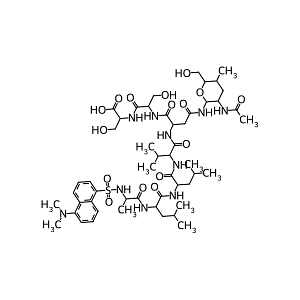 CC(=O)NC1CC(C)C(CO)OC1NC(=O)CC(NC(=O)C(NC(=O)C(CC(C)C)NC(=O)C(CC(C)C)NC(=O)C(C)NS(=O)(=O)c1cccc2c(N(C)C)cccc12)C(C)C)C(=O)NC(CO)C(=O)NC(CO)C(=O)O